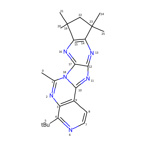 Cc1nc2c(C(C)(C)C)nccc2c2nc3nc4c(nc3n12)C(C)(C)CC4(C)C